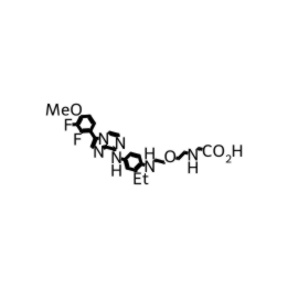 CCc1cc(Nc2nccn3c(-c4ccc(OC)c(F)c4F)cnc23)ccc1NCCOCCNCC(=O)O